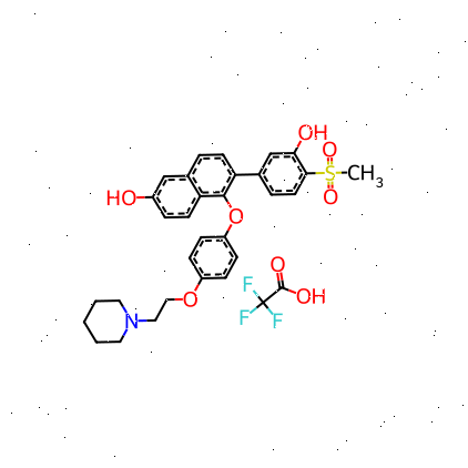 CS(=O)(=O)c1ccc(-c2ccc3cc(O)ccc3c2Oc2ccc(OCCN3CCCCC3)cc2)cc1O.O=C(O)C(F)(F)F